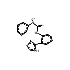 CC(=O)N(C(=O)Nc1ccccc1-c1nnn[nH]1)c1ccccc1